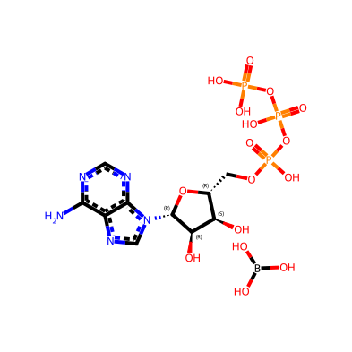 Nc1ncnc2c1ncn2[C@@H]1O[C@H](COP(=O)(O)OP(=O)(O)OP(=O)(O)O)[C@@H](O)[C@H]1O.OB(O)O